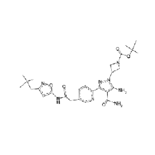 CC(C)(C)Cc1cc(NC(=O)Cc2ccc(-c3nn(C4CN(C(=O)OC(C)(C)C)C4)c(N)c3C(N)=O)cc2)on1